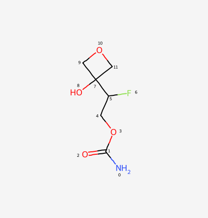 NC(=O)OCC(F)C1(O)COC1